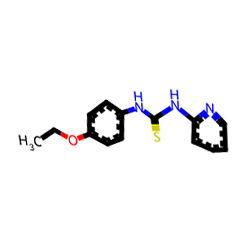 CCOc1ccc(NC(=S)Nc2ccccn2)cc1